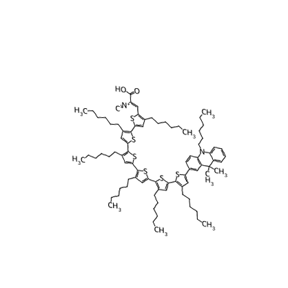 [C-]#[N+]/C(=C\c1sc(-c2sc(-c3sc(-c4sc(-c5sc(-c6sc(-c7ccc8c(c7)C(C)(C)c7ccccc7N8CCCCCC)cc6CCCCCC)cc5CCCCCC)cc4CCCCCC)cc3CCCCCC)cc2CCCCCC)cc1CCCCCC)C(=O)O